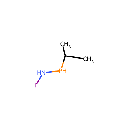 CC(C)PNI